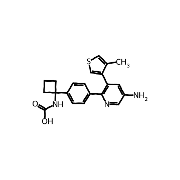 Cc1cscc1-c1cc(N)cnc1-c1ccc(C2(NC(=O)O)CCC2)cc1